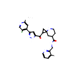 COc1cc(-c2cc(C(=O)C3CC34CC(C(=O)NCc3ncccc3C(F)(F)F)CCN4)[nH]n2)c(F)cn1